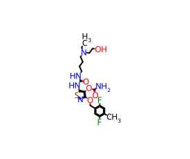 CCN(CCO)CCCCNC(=O)Nc1snc(OCc2cc(F)c(C)cc2F)c1OC(N)=O